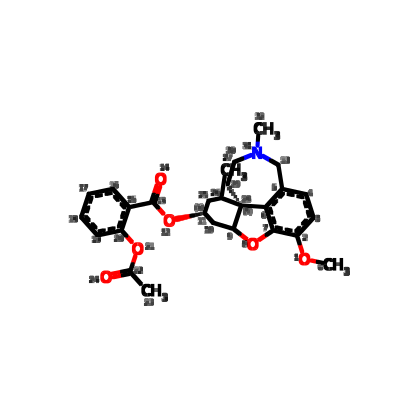 COc1ccc2c3c1OC1C[C@@H](OC(=O)c4ccccc4OC(C)=O)CC(C)[C@@]31CCN(C)C2